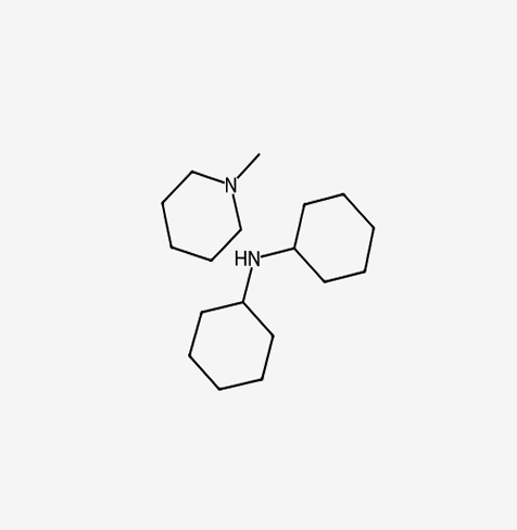 C1CCC(NC2CCCCC2)CC1.CN1CCCCC1